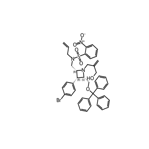 C=CCN(C[C@H]1[C@@H](c2ccc(Br)cc2)[C@@H](COC(c2ccccc2)(c2ccccc2)c2ccccc2)N1CC(=C)CO)S(=O)(=O)c1ccccc1[N+](=O)[O-]